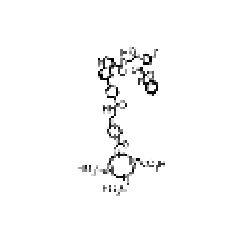 O=C(O)CN1CCN(CC(=O)O)CCN(CC(=O)N2CCN(CCNC(=O)c3ccc(-c4ccc5nccc(C(=O)NCC(=O)N6C[C@@H](F)C[C@H]6C(=O)c6nc7ccccc7o6)c5c4)cc3)CC2)CCN(CC(=O)O)CC1